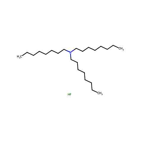 CCCCCCCCN(CCCCCCCC)CCCCCCCC.F